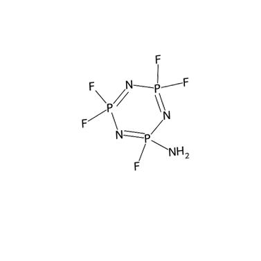 NP1(F)=NP(F)(F)=NP(F)(F)=N1